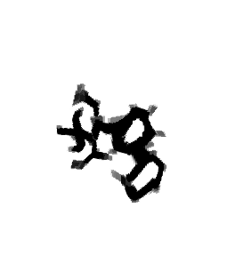 CC(C)(C)N(C(=O)O)[C@H](CO)c1cccc(C2CCCO2)c1